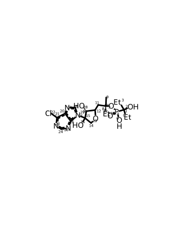 CCC(O)(CC)P(=O)(O)O[C@](C)(CC)CC1OCC(O)(n2cnc3c(Cl)ncnc32)[C@@H]1O